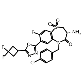 N[C@H]1CS(=O)(=O)c2cc(F)c(-c3nnc(C4CC(F)(F)C4)o3)cc2N(Cc2ccc(Cl)cc2)C1=O